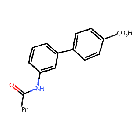 CC(C)C(=O)Nc1cccc(-c2ccc(C(=O)O)cc2)c1